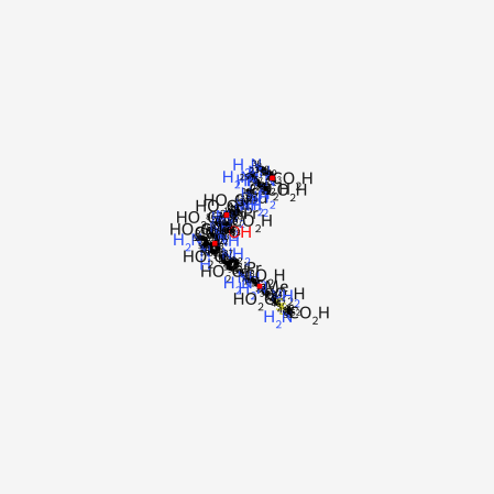 CC(C)C[C@H](N)C(=O)O.CC(C)[C@H](N)C(=O)O.CC[C@H](C)[C@H](N)C(=O)O.CSCC[C@H](N)C(=O)O.C[C@H](N)C(=O)O.N=C(N)NCCC[C@H](N)C(=O)O.NCC(=O)O.NCCCC[C@H](N)C(=O)O.N[C@@H](CSSC[C@H](N)C(=O)O)C(=O)O.N[C@@H](Cc1c[nH]c2ccccc12)C(=O)O.N[C@@H](Cc1c[nH]cn1)C(=O)O.N[C@@H](Cc1ccc(O)cc1)C(=O)O.N[C@@H](Cc1ccccc1)C(=O)O.O=C(O)[C@@H]1CCCN1